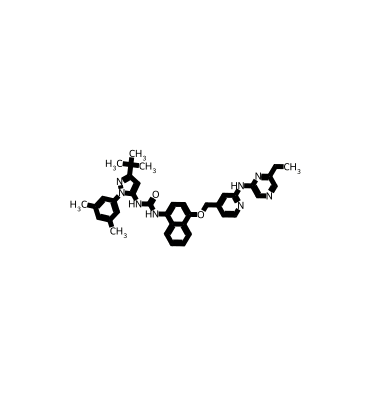 CCc1cncc(Nc2cc(COc3ccc(NC(=O)Nc4cc(C(C)(C)C)nn4-c4cc(C)cc(C)c4)c4ccccc34)ccn2)n1